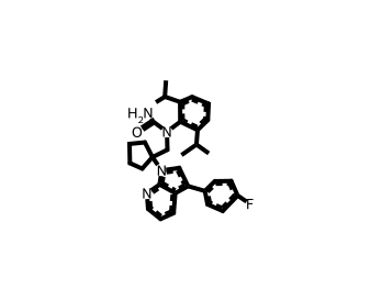 CC(C)c1cccc(C(C)C)c1N(CC1(n2cc(-c3ccc(F)cc3)c3cccnc32)CCCC1)C(N)=O